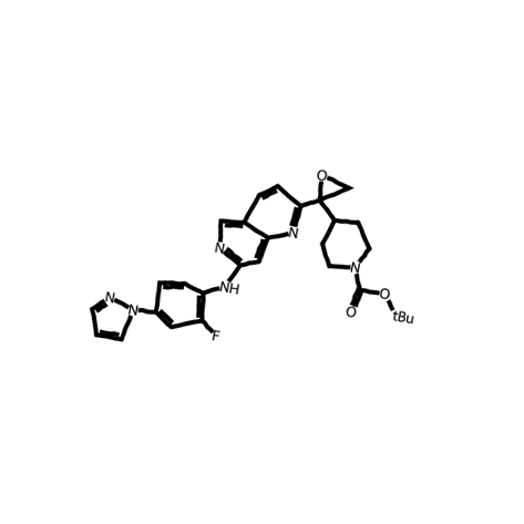 CC(C)(C)OC(=O)N1CCC(C2(c3ccc4cnc(Nc5ccc(-n6cccn6)cc5F)cc4n3)CO2)CC1